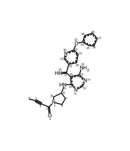 CC#CC(=O)N1CCC(Nc2ncnc(N)c2C(=N)c2ccc(Oc3ccccc3)nc2)C1